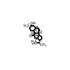 CC(O)[C@H]1CC[C@H]2[C@@H]3CC[C@H]4C[C@](C)(O)CC[C@]4(C)[C@H]3C(=O)C[C@]12C